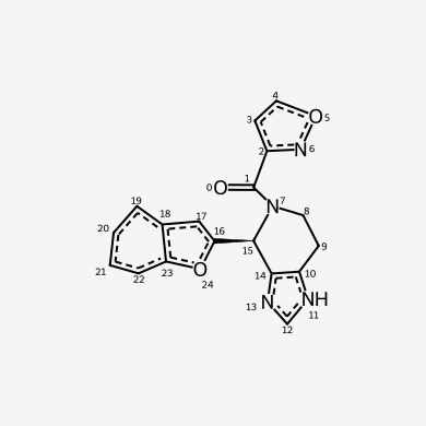 O=C(c1ccon1)N1CCc2[nH]cnc2[C@H]1c1cc2ccccc2o1